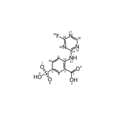 O=C(O)c1cc(S(=O)(=O)O)ccc1Nc1ncnc(F)n1